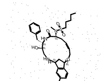 CCCCCS(=O)(=O)N(C)[C@H]1CC=CCO[C@@H]2C[C@H](NC[C@@H](O)[C@H](Cc3ccccc3)NC1=O)c1cc(OC)ccc12